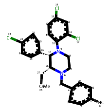 [C-]#[N+]c1ccc(CN2CCN(c3ccc(Cl)cc3Cl)[C@@H](c3ccc(Cl)cc3)[C@H]2COC)cc1